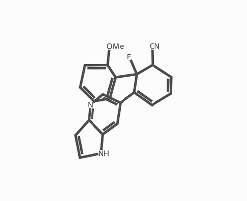 COc1ccccc1C1(F)C(c2cnc3cc[nH]c3c2)=CC=CC1C#N